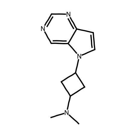 CN(C)C1CC(n2ccc3ncncc32)C1